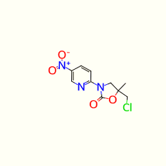 CC1(CCl)CN(c2ccc([N+](=O)[O-])cn2)C(=O)O1